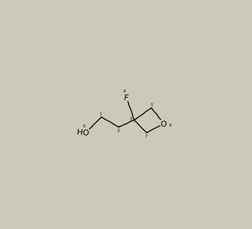 OCCC1(F)COC1